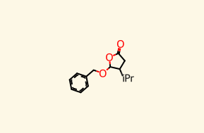 CC(C)C1CC(=O)OC1OCc1ccccc1